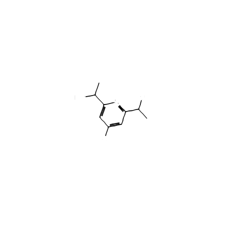 CC(O)c1cc(O)cc(C(C)O)n1